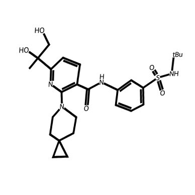 CC(C)(C)NS(=O)(=O)c1cccc(NC(=O)c2ccc(C(C)(O)CO)nc2N2CCC3(CC2)CC3)c1